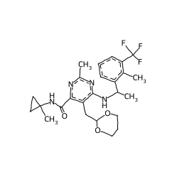 Cc1nc(NC(C)c2cccc(C(F)(F)F)c2C)c(CC2OCCCO2)c(C(=O)NC2(C)CC2)n1